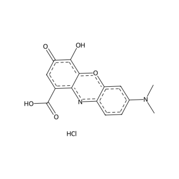 CN(C)c1ccc2nc3c(C(=O)O)cc(=O)c(O)c-3oc2c1.Cl